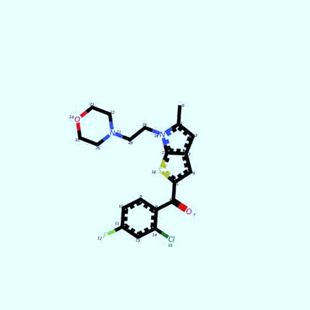 Cc1cc2cc(C(=O)c3ccc(F)cc3Cl)sc2n1CCN1CCOCC1